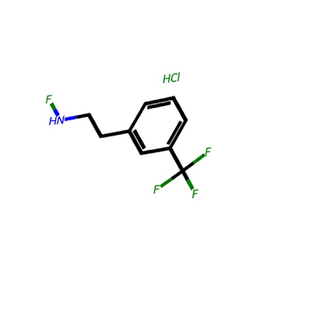 Cl.FNCCc1cccc(C(F)(F)F)c1